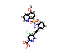 COC(=O)c1cc(Cl)c(C#Cc2ccccc2NS(=O)(=O)c2ccc(OC)c3cccnc23)cn1